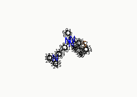 c1ccc(-c2nc(-c3ccc(-c4ccc(-n5c6ccccc6c6ccccc65)cc4)cc3)nc(-c3ccc4c(c3)C3(c5ccccc5S4)c4ccccc4-c4ccccc43)n2)cc1